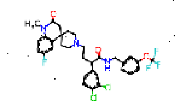 CN1C(=O)CC2(CCN(CCC(C(=O)NCc3cccc(OC(F)(F)F)c3)c3ccc(Cl)c(Cl)c3)CC2)c2cc(F)ccc21